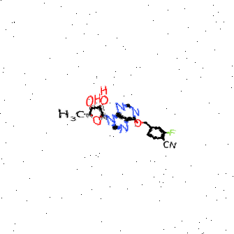 C[C@H]1O[C@@H](n2cnc3c(OCc4ccc(C#N)c(F)c4)ncnc32)[C@H](O)[C@@H]1O